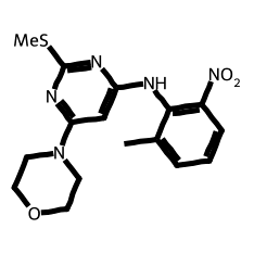 CSc1nc(Nc2c(C)cccc2[N+](=O)[O-])cc(N2CCOCC2)n1